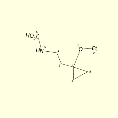 CCOC1(CCNC(=O)O)CC1